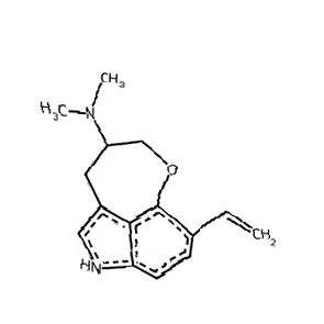 C=Cc1ccc2[nH]cc3c2c1OCC(N(C)C)C3